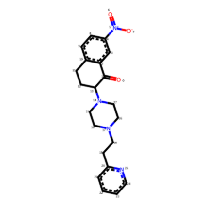 O=C1c2cc([N+](=O)[O-])ccc2CCC1N1CCN(CCc2ccccn2)CC1